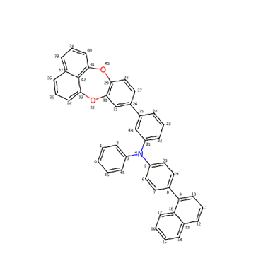 c1ccc(N(c2ccc(-c3cccc4ccccc34)cc2)c2cccc(-c3ccc4c(c3)Oc3cccc5cccc(c35)O4)c2)cc1